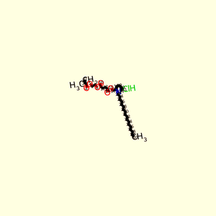 C=C(C)C(=O)OCCOC(=O)CCC(=O)OCC1=CC=CCN1CCCCCCCCCCCCCCCCCC.Cl